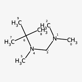 CN(C)[CH]N(C)C(C)(C)C